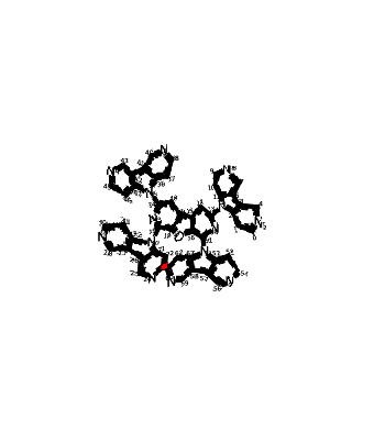 c1cc2c(cn1)c1cnccc1n2-c1cc2c(oc3c(-n4c5ccncc5c5cnccc54)nc(-n4c5ccncc5c5cnccc54)cc32)c(-n2c3ccncc3c3cnccc32)n1